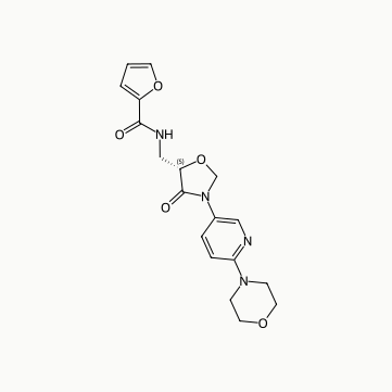 O=C(NC[C@@H]1OCN(c2ccc(N3CCOCC3)nc2)C1=O)c1ccco1